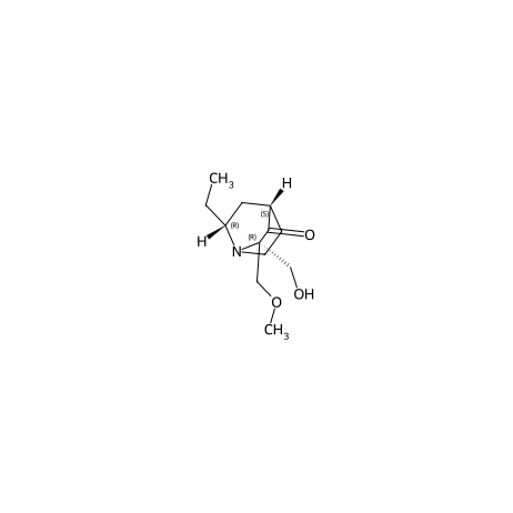 CC[C@@H]1C[C@@H]2CCN1[C@](CO)(COC)C2=O